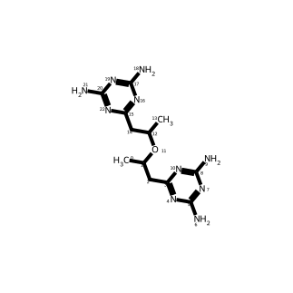 CC(Cc1nc(N)nc(N)n1)OC(C)Cc1nc(N)nc(N)n1